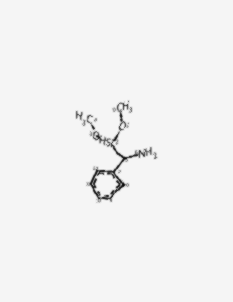 CO[SiH](OC)C(N)c1ccccc1